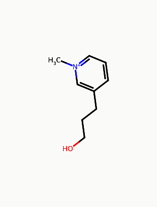 C[n+]1cccc(CCCO)c1